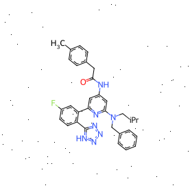 Cc1ccc(CC(=O)Nc2cc(-c3cc(F)ccc3-c3nnn[nH]3)nc(N(Cc3ccccc3)CC(C)C)c2)cc1